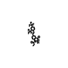 CCC(=O)Nc1ccc(C=Cc2ccc(C(F)(F)F)cc2C(F)(F)F)cc1C(=O)O